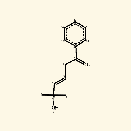 CC(C)(O)C=CCC(=O)c1ccccc1